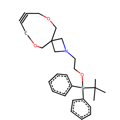 CC(C)(C)[Si](OCCN1CC2(COCC#CCOC2)C1)(c1ccccc1)c1ccccc1